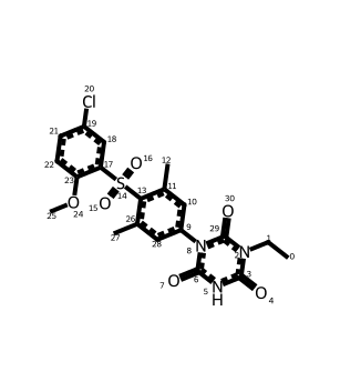 CCn1c(=O)[nH]c(=O)n(-c2cc(C)c(S(=O)(=O)c3cc(Cl)ccc3OC)c(C)c2)c1=O